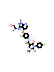 CC(C)n1cc(C(=O)Nc2ccc(Oc3ccnc4[nH]nc(N[C@H](C)CO)c34)c(F)c2)c(=O)n(-c2ccc(F)cc2)c1=O